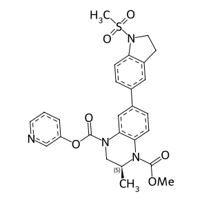 COC(=O)N1c2ccc(-c3ccc4c(c3)CCN4S(C)(=O)=O)cc2N(C(=O)Oc2cccnc2)C[C@@H]1C